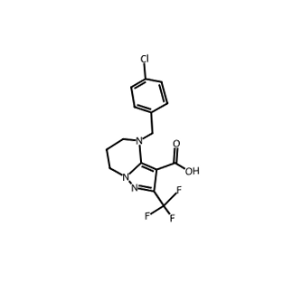 O=C(O)c1c(C(F)(F)F)nn2c1N(Cc1ccc(Cl)cc1)CCC2